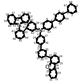 c1ccc(-c2ccc(-c3ccc(N(c4ccc(-c5cccc(-c6cccc7c6oc6ccccc67)c5)cc4)c4cccc(-c5ccccc5-n5c6ccccc6c6ccccc65)c4)cc3)cc2)cc1